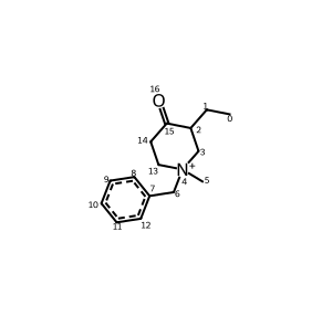 CCC1C[N+](C)(Cc2ccccc2)CCC1=O